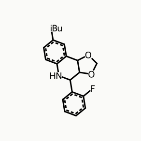 CCC(C)c1ccc2c(c1)C1OCOC1C(c1ccccc1F)N2